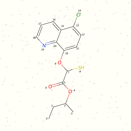 CCC(C)OC(=O)C(S)Oc1ccc(Cl)c2cccnc12